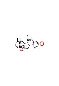 CC[C@@H]1Cc2cc(OC)ccc2C2CC[C@]34O[C@]35C=CC[C@@H]5CC4C21